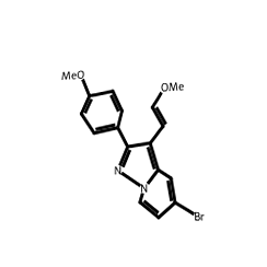 CO/C=C/c1c(-c2ccc(OC)cc2)nn2ccc(Br)cc12